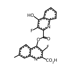 Cc1ccc2c(OC(=O)c3nc4ccccc4c(O)c3F)c(F)c(C(=O)O)nc2c1